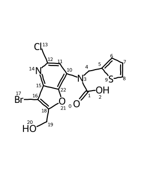 O=C(O)N(Cc1cccs1)c1cc(Cl)nc2c(Br)c(CO)oc12